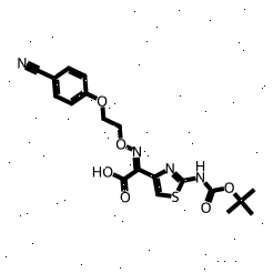 CC(C)(C)OC(=O)Nc1nc(/C(=N/OCCOc2ccc(C#N)cc2)C(=O)O)cs1